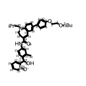 CCCCOCCOc1ccc(-c2ccc3c(c2)C=C(C(=O)Nc2ccc(C(O)c4cccc[n+]4[O-])c(C)c2)CCN3CC(C)C)cc1